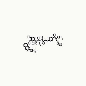 CCOCCN(C)C(=O)c1ccc(C=CC(=O)NCC(=O)N(C)c2ccc(Cl)c(COc3cccc4ccc(C)nc34)c2Cl)cc1